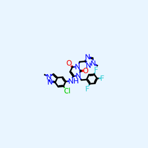 Cn1cnc(Cn2c(=O)cc(Nc3cc4cn(C)nc4cc3Cl)n(Cc3cc(F)c(F)cc3F)c2=O)n1